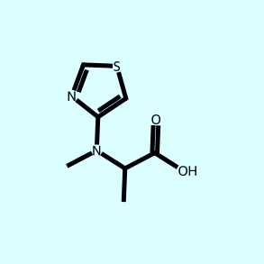 CC(C(=O)O)N(C)c1cscn1